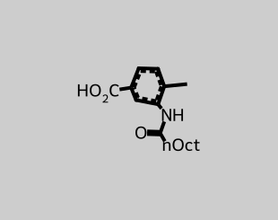 CCCCCCCCC(=O)Nc1cc(C(=O)O)ccc1C